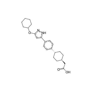 O=C(O)C[C@H]1CC[C@H](c2ccc(-c3cc(OC4CCCCC4)n[nH]3)cc2)CC1